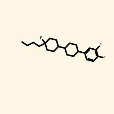 CCCCC1(F)CCC(C2CCC(c3ccc(F)c(F)c3)CC2)CC1